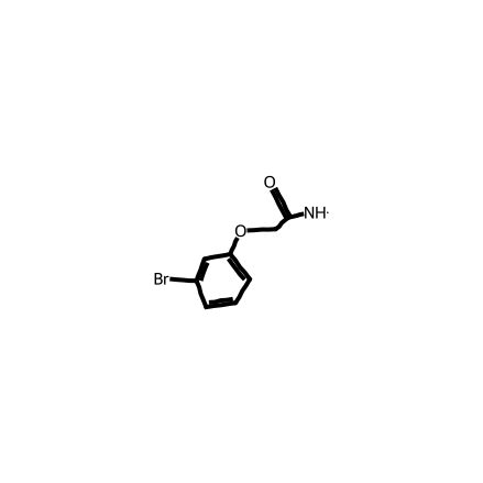 [NH]C(=O)COc1cccc(Br)c1